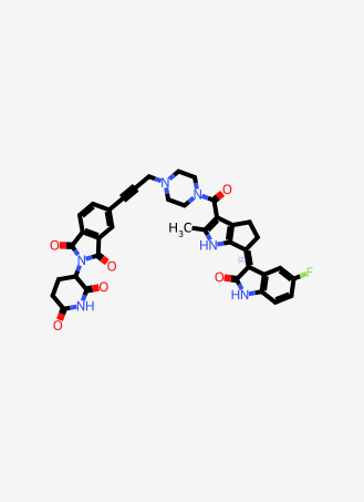 Cc1[nH]c2c(c1C(=O)N1CCN(CC#Cc3ccc4c(c3)C(=O)N(C3CCC(=O)NC3=O)C4=O)CC1)CC/C2=C1/C(=O)Nc2ccc(F)cc21